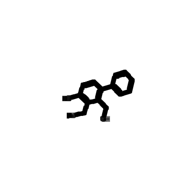 OCc1c(O)ccc(-c2ccccc2)c1CO